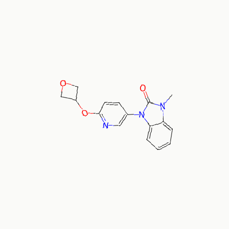 Cn1c(=O)n(-c2ccc(OC3COC3)nc2)c2ccccc21